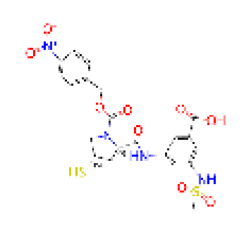 CS(=O)(=O)Nc1cc(NC(=O)[C@@H]2C[C@H](S)CN2C(=O)OCc2ccc([N+](=O)[O-])cc2)cc(C(=O)O)c1